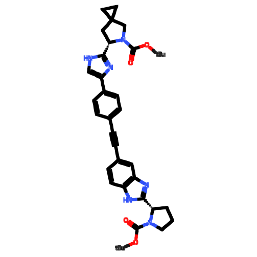 CC(C)(C)OC(=O)N1CC2(CC2)C[C@H]1c1nc(-c2ccc(C#Cc3ccc4[nH]c([C@@H]5CCCN5C(=O)OC(C)(C)C)nc4c3)cc2)c[nH]1